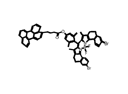 CC1=C2CCc3cc(Br)ccc3C2=[N+]2C1=C(c1c(C)cc(OC(=O)CCCc3ccc4c5cccc6cccc(c7cccc3c74)c65)cc1C)c1c(C)c3c(n1[B-]2(F)F)-c1ccc(Br)cc1CC3